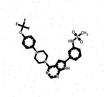 CS(=O)(=O)Nc1cccc(-c2cc3c(N4CCN(c5ccc(OC(F)(F)F)cc5)CC4)ncnc3[nH]2)c1